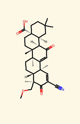 COC[C@]1(C)C(=O)C(C#N)=C[C@]2(C)C3=CC(=O)[C@@H]4[C@@H]5CC(C)(C)CC[C@]5(C(=O)O)CC[C@@]4(C)[C@]3(C)CC[C@H]21